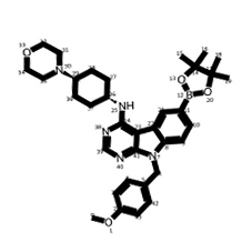 COc1ccc(Cn2c3ccc(B4OC(C)(C)C(C)(C)O4)cc3c3c(N[C@H]4CC[C@H](N5CCOCC5)CC4)ncnc32)cc1